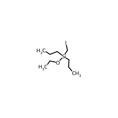 CCC[Si](CI)(CCC)OCC